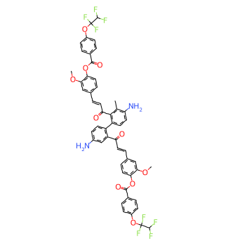 COc1cc(C=CC(=O)c2cc(N)ccc2-c2ccc(N)c(C)c2C(=O)C=Cc2ccc(OC(=O)c3ccc(OC(F)(F)C(F)F)cc3)c(OC)c2)ccc1OC(=O)c1ccc(OC(F)(F)C(F)F)cc1